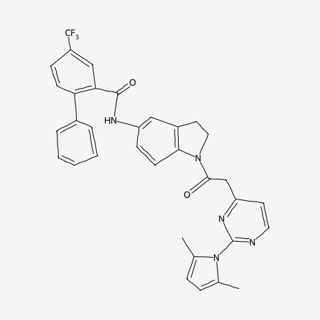 Cc1ccc(C)n1-c1nccc(CC(=O)N2CCc3cc(NC(=O)c4cc(C(F)(F)F)ccc4-c4ccccc4)ccc32)n1